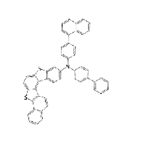 c1ccc(-c2ccc(N(c3ccc(-c4cccc5ccccc45)cc3)c3ccc4c(c3)sc3ccc5sc6c7ccccc7ccc6c5c34)cc2)cc1